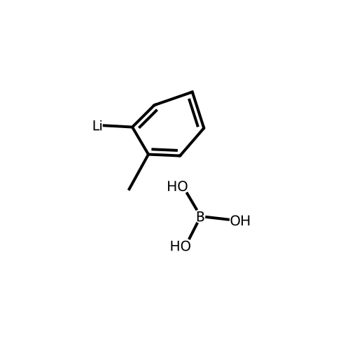 OB(O)O.[Li][c]1ccccc1C